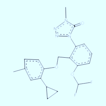 Cc1ccc(OCc2c(OC(F)F)cccc2-n2nnn(C)c2=O)c(C2CC2)c1